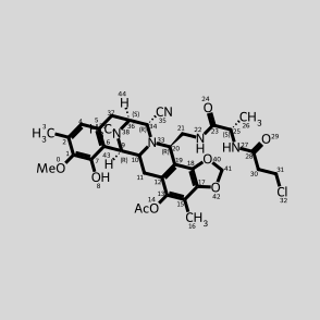 COc1c(C)cc2c(c1O)[C@@H]1C3Cc4c(OC(C)=O)c(C)c5c(c4[C@H](CNC(=O)[C@H](C)NC(=O)CCCl)N3[C@@H](C#N)[C@H](C2)N1C)OCO5